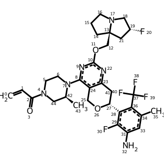 C=CC(=O)N1CCN(c2nc(OC[C@@]34CCCN3C[C@H](F)C4)nc3c2CO[C@@H](c2c(F)c(N)cc(C)c2C(F)(F)F)C3)[C@@H](C)C1